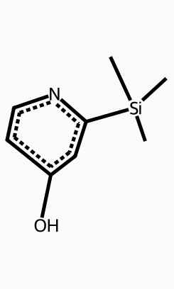 C[Si](C)(C)c1cc(O)ccn1